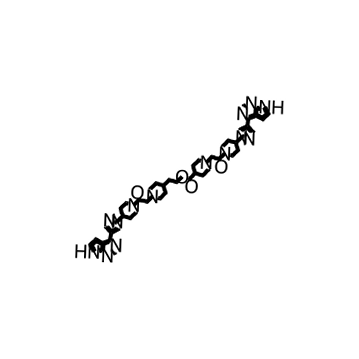 O=C(OCCC1CCN(CC(=O)N2CCC(n3cc(-c4ncnc5[nH]ccc45)cn3)CC2)CC1)C1CCN(CC(=O)N2CCC(n3cc(-c4ncnc5[nH]ccc45)cn3)CC2)CC1